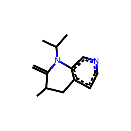 C=C1C(C)Cc2ccncc2N1C(C)C